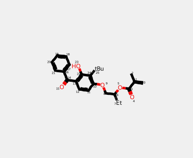 C=C(C)C(=O)OC(CC)COc1ccc(C(=O)c2ccccc2)c(O)c1C(C)(C)C